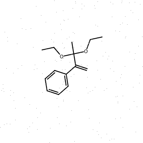 C=C(c1ccccc1)C(C)(OCC)OCC